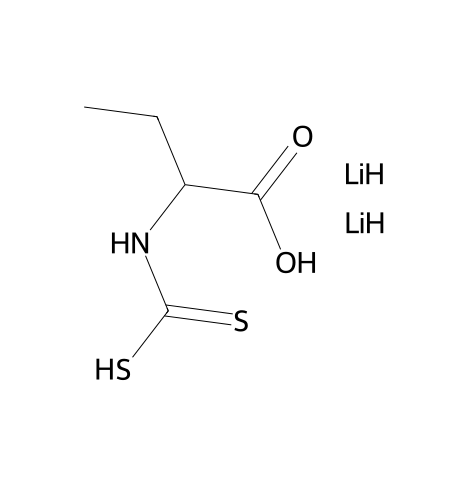 CCC(NC(=S)S)C(=O)O.[LiH].[LiH]